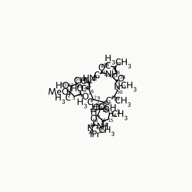 CO[C@]1(C)C[C@H](O[C@H]2[C@H](C)[C@@H](O[C@@H]3O[C@H](C)C[C@H]4[C@H]3O/C(=N/C(C)C)N4C)[C@](C)(O)C[C@@H](C)CN(C)C(=O)[C@H](C=C(C)C)NC(=O)CNC(=O)[C@@H]2C)O[C@@H](C)[C@@H]1O